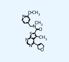 COc1cc(CN(C)C(=O)c2sc3ncnc(C4=CCOC4)c3c2C)ccn1